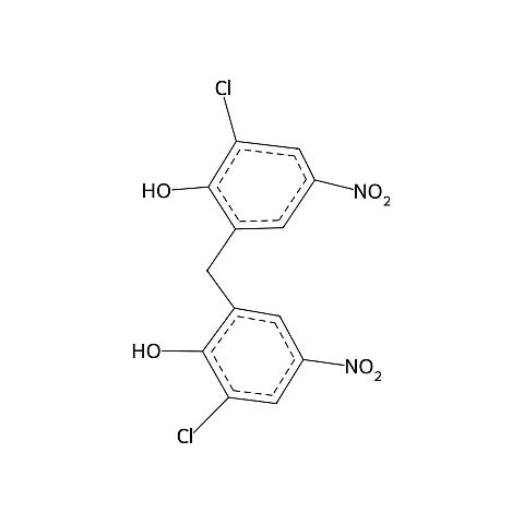 O=[N+]([O-])c1cc(Cl)c(O)c(Cc2cc([N+](=O)[O-])cc(Cl)c2O)c1